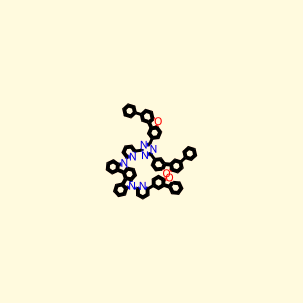 c1ccc(-c2ccc3oc4ccc(-c5nc(-c6ccc7oc8ccc(-c9ccccc9)cc8c7c6)nc(-c6cccc(-n7c8ccccc8c8c9c%10ccccc%10n(-c%10cccc(-c%11ccc%12oc%13ccccc%13c%12c%11)n%10)c9ccc87)n6)n5)cc4c3c2)cc1